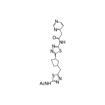 CC(=O)Nc1nnc(CC2CC[C@@H](c3nnc(NC(=O)Cc4ccncn4)s3)C2)s1